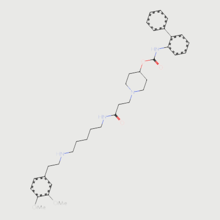 COc1ccc(CCNCCCCCNC(=O)CCN2CCC(OC(=O)Nc3ccccc3-c3ccccc3)CC2)cc1OC